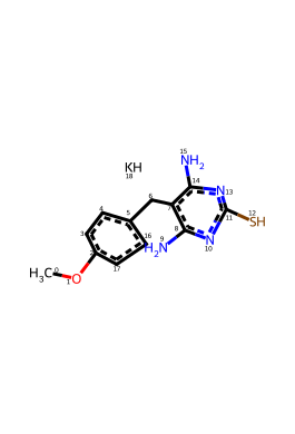 COc1ccc(Cc2c(N)nc(S)nc2N)cc1.[KH]